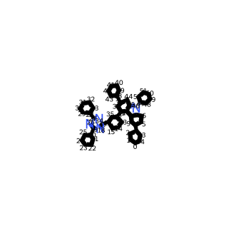 c1ccc(-c2ccc3c(c2)c2c(-c4cccc(-c5nc(-c6ccccc6)nc(-c6ccccc6)n5)c4)cc(-c4ccccc4)cc2n3-c2ccccc2)cc1